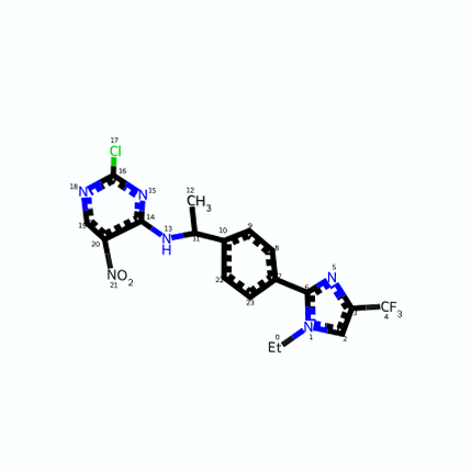 CCn1cc(C(F)(F)F)nc1-c1ccc(C(C)Nc2nc(Cl)ncc2[N+](=O)[O-])cc1